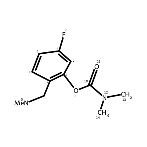 CNCc1ccc(F)cc1OC(=O)N(C)C